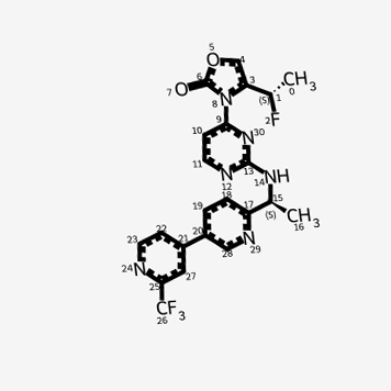 C[C@H](F)c1coc(=O)n1-c1ccnc(N[C@@H](C)c2ccc(-c3ccnc(C(F)(F)F)c3)cn2)n1